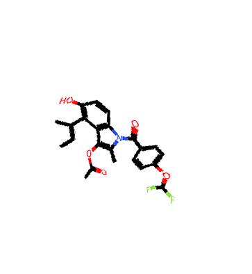 CCC(C)c1c(O)ccc2c1c(OC(C)=O)c(C)n2C(=O)c1ccc(OC(F)F)cc1